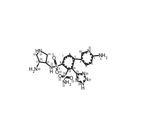 Nc1ccc(-c2ccc(S(=O)(=O)NC3CNC[C@@H]3N)c(S(N)(=O)=O)c2-c2nn[nH]n2)cn1